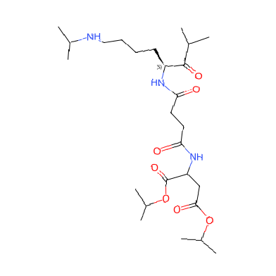 CC(C)NCCCC[C@H](NC(=O)CCC(=O)NC(CC(=O)OC(C)C)C(=O)OC(C)C)C(=O)C(C)C